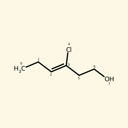 CCC=C(Cl)CCO